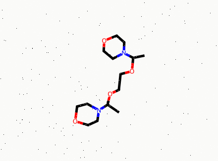 CC(OCCOC(C)N1CCOCC1)N1CCOCC1